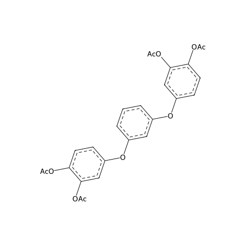 CC(=O)Oc1ccc(Oc2cccc(Oc3ccc(OC(C)=O)c(OC(C)=O)c3)c2)cc1OC(C)=O